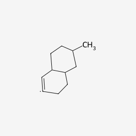 CC1CCC2C=[C]CCC2C1